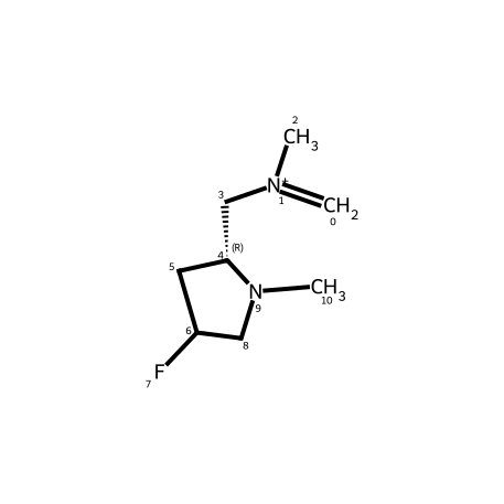 C=[N+](C)C[C@H]1CC(F)CN1C